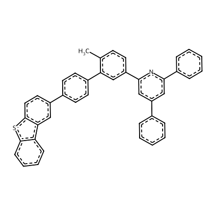 Cc1ccc(-c2cc(-c3ccccc3)cc(-c3ccccc3)n2)cc1-c1ccc(-c2ccc3sc4ccccc4c3c2)cc1